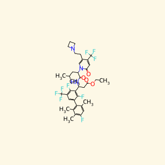 CCOC(=O)CC(NC(=O)C(CC(C)C)n1cc(CCN2CCC2)c(C(F)(F)F)cc1=O)c1c(F)c(-c2c(C)cc(F)c(C)c2C)cc(C(F)(F)F)c1F